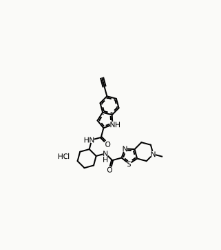 C#Cc1ccc2[nH]c(C(=O)NC3CCCCC3NC(=O)c3nc4c(s3)CN(C)CC4)cc2c1.Cl